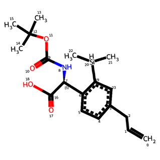 C=CCc1ccc([C@H](NC(=O)OC(C)(C)C)C(=O)O)c([SiH](C)C)c1